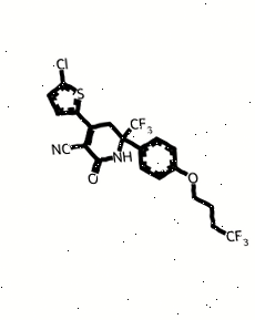 N#CC1=C(c2ccc(Cl)s2)CC(c2ccc(OCCCC(F)(F)F)cc2)(C(F)(F)F)NC1=O